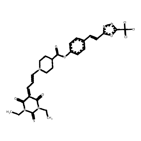 CCN1C(=O)C(=CC=CN2CCC(C(=O)Oc3ccc(C=Cc4nnc(C(Cl)(Cl)Cl)o4)cc3)CC2)C(=O)N(CC)C1=S